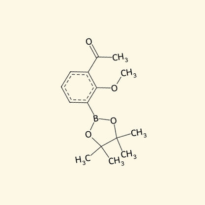 COc1c(B2OC(C)(C)C(C)(C)O2)cccc1C(C)=O